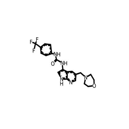 O=C(Nc1ccc(C(F)(F)F)cc1)Nc1c[nH]c2ncc(CN3CCOCC3)cc12